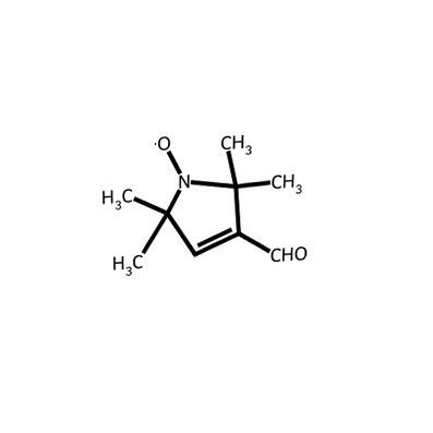 CC1(C)C=C(C=O)C(C)(C)N1[O]